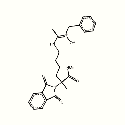 CNC(=O)C(C)(CCCCNC(C)=[N+](O)Cc1ccccc1)N1C(=O)c2ccccc2C1=O